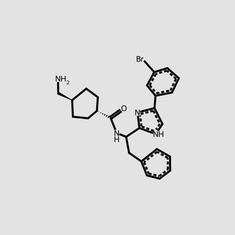 NC[C@H]1CC[C@H](C(=O)NC(Cc2ccccc2)c2nc(-c3cccc(Br)c3)c[nH]2)CC1